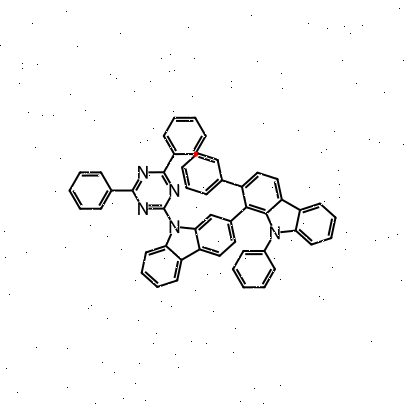 c1ccc(-c2nc(-c3ccccc3)nc(-n3c4ccccc4c4ccc(-c5c(-c6ccccc6)ccc6c7ccccc7n(-c7ccccc7)c56)cc43)n2)cc1